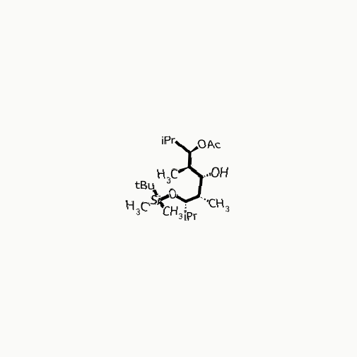 CC(=O)O[C@H](C(C)C)[C@H](C)[C@H](O)[C@H](C)[C@@H](O[Si](C)(C)C(C)(C)C)C(C)C